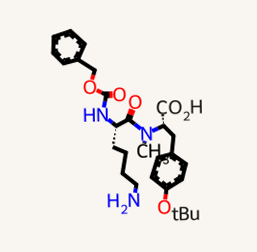 CN(C(=O)[C@H](CCCCN)NC(=O)OCc1ccccc1)[C@@H](Cc1ccc(OC(C)(C)C)cc1)C(=O)O